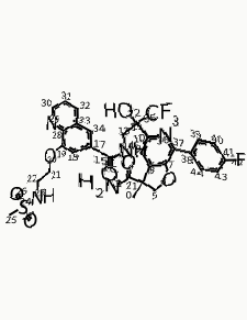 C[C@]1(C(N)=O)COc2c1cc(C(O)(CNC(=O)c1cc(OCCNS(C)(=O)=O)c3ncccc3c1)C(F)(F)F)nc2-c1ccc(F)cc1